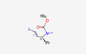 CC(C)[C@@H](/C=C/I)N(C)C(=O)OC(C)(C)C